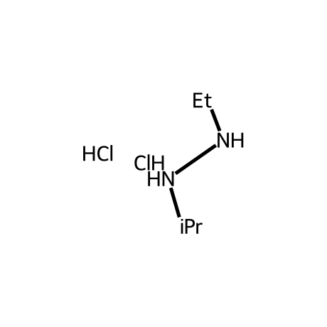 CCNNC(C)C.Cl.Cl